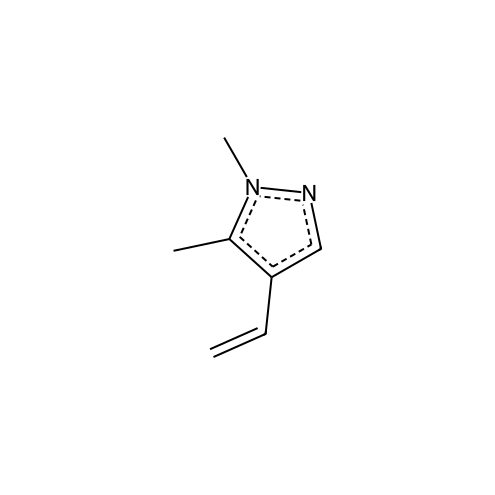 C=Cc1cnn(C)c1C